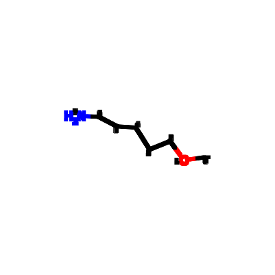 [CH2]OCCCCCN